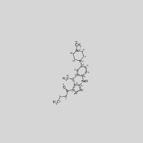 CCOC(=O)c1nnc(Nc2ccc(N3CCN(C)CC3)cc2OC)s1